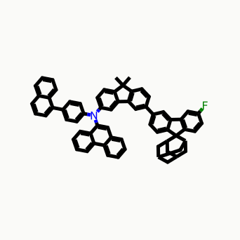 CC1(C)c2ccc(-c3ccc4c(c3)-c3cc(F)ccc3C43C4CC5CC(C4)CC3C5)cc2-c2cc(N(c3ccc(-c4cccc5ccccc45)cc3)c3cc4ccccc4c4ccccc34)ccc21